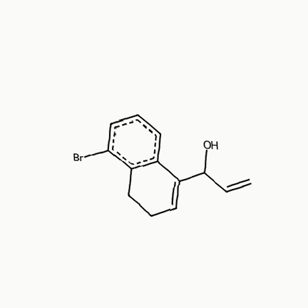 C=CC(O)C1=CCCc2c(Br)cccc21